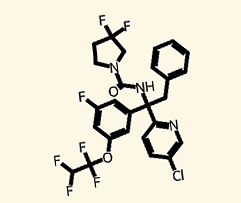 O=C(NC(Cc1ccccc1)(c1cc(F)cc(OC(F)(F)C(F)F)c1)c1ccc(Cl)cn1)N1CCC(F)(F)C1